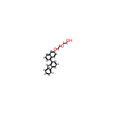 OCCOCCOc1ccc2c(-c3cccc4c3Cc3ccccc3-4)cccc2c1